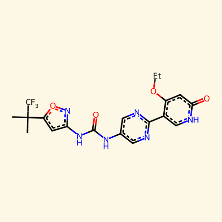 CCOc1cc(=O)[nH]cc1-c1ncc(NC(=O)Nc2cc(C(C)(C)C(F)(F)F)on2)cn1